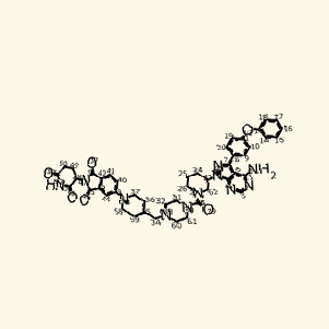 Nc1ncnc2c1c(-c1ccc(Oc3ccccc3)cc1)nn2[C@@H]1CCCN(C(=O)N2CCN(CC3CCN(c4ccc5c(c4)C(=O)N(C4CCC(=O)NC4=O)C5=O)CC3)CC2)C1